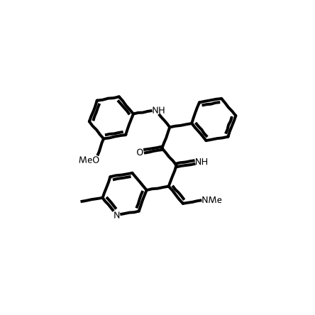 CN/C=C(\C(=N)C(=O)C(Nc1cccc(OC)c1)c1ccccc1)c1ccc(C)nc1